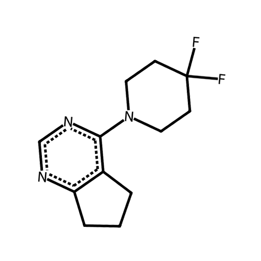 FC1(F)CCN(c2ncnc3c2CCC3)CC1